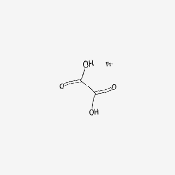 O=C(O)C(=O)O.[Fr]